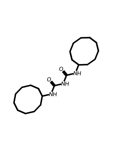 O=C(NC(=O)NC1CCCCCCCCC1)NC1CCCCCCCCC1